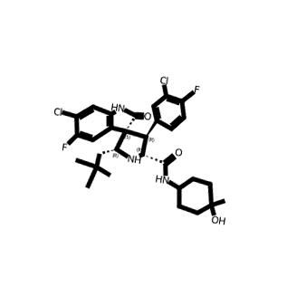 CC(C)(C)C[C@H]1N[C@@H](C(=O)NC2CCC(C)(O)CC2)[C@H](c2ccc(F)c(Cl)c2)[C@@]12C(=O)Nc1cc(Cl)c(F)cc12